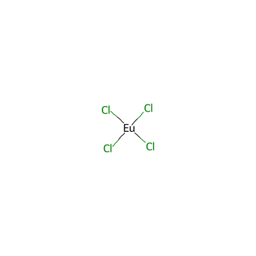 [Cl][Eu]([Cl])([Cl])[Cl]